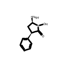 CCCCCCC[C@@H]1C[C@H](c2ccccc2)C(=O)N1O